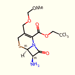 COCOCC1=C(C(=O)OCC(Cl)(Cl)Cl)N2C(=O)[C@@H](N)[C@H]2SC1